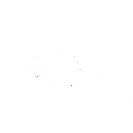 B[C@@H]1[C@@H](C)C(=O)[C@@H](C)C(=O)O[C@H](CC)[C@](O)(n2ccc(N)nc2=O)[C@H](NC#C)[C@@H](C)N(C)C[C@H](C)C[C@@]1(C)OC/C=C/c1cnc2ccccc2c1